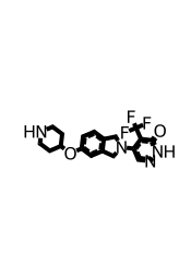 O=c1[nH]ncc(N2Cc3ccc(OC4CCNCC4)cc3C2)c1C(F)(F)F